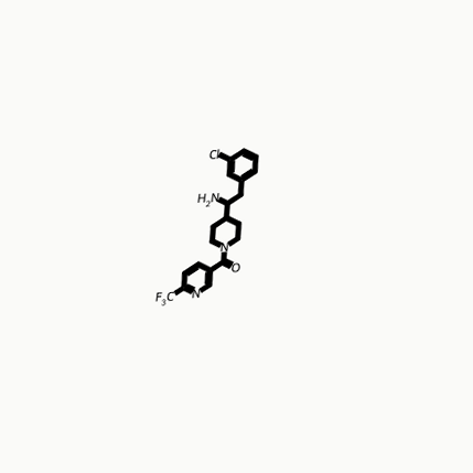 NC(Cc1cccc(Cl)c1)C1CCN(C(=O)c2ccc(C(F)(F)F)nc2)CC1